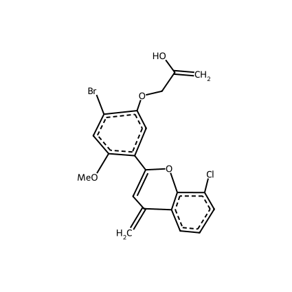 C=C(O)COc1cc(C2=CC(=C)c3cccc(Cl)c3O2)c(OC)cc1Br